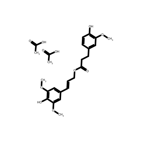 CC(=O)O.CC(=O)O.COc1cc(CCC(=O)OC/C=C/c2cc(OC)c(O)c(OC)c2)ccc1O